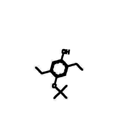 CCc1cc(OC(C)(C)C)c(CC)cc1O